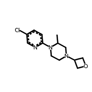 CC1CN(C2COC2)CCN1c1ccc(Cl)cn1